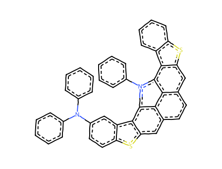 c1ccc(N(c2ccccc2)c2ccc3sc4cc5ccc6cc7sc8ccccc8c7c7c6c5c(c4c3c2)n7-c2ccccc2)cc1